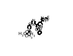 CC(C)(C)OC(=O)N1CCC(Oc2cncc(-c3cn(S(=O)(=O)c4ccccc4)c4ncc(-c5cnn(CC(F)(F)F)c5)cc34)n2)CC1